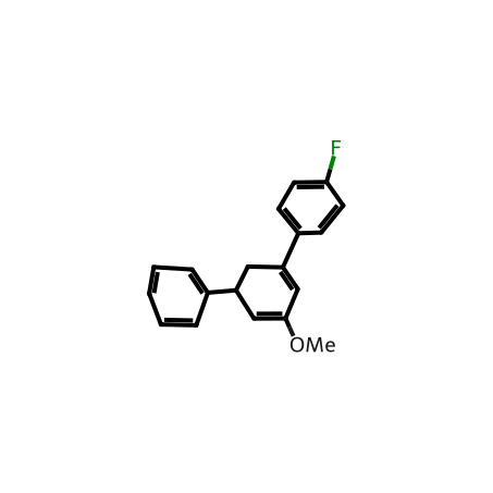 COC1=CC(c2ccccc2)CC(c2ccc(F)cc2)=C1